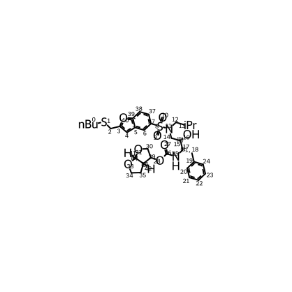 CCCCSCc1cc2cc(S(=O)(=O)N(CC(C)C)C[C@@H](O)[C@H](Cc3ccccc3)NC(=O)OC3CO[C@H]4OCC[C@@H]34)ccc2o1